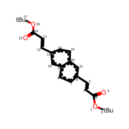 CC(C)(C)OC(=O)/C=C/c1ccc2cc(/C=C/C(=O)OC(C)(C)C)ccc2c1